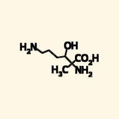 CC(N)(C(=O)O)C(O)CCCN